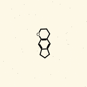 c1c2c(cc3c1CCCO3)CCC2